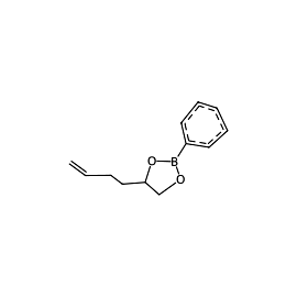 C=CCCC1COB(c2ccccc2)O1